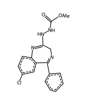 COC(=O)NNC1=Nc2ccc(Cl)cc2C(c2ccccc2)=NC1